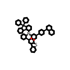 c1ccc(C2(c3ccccc3)c3ccccc3-c3c(N(c4cccc(-c5ccc(-c6cccc7ccccc67)cc5)c4)c4ccccc4-c4ccc5sc6ccccc6c5c4)cccc32)cc1